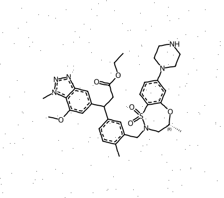 CCOC(=O)CC(c1ccc(C)c(CN2C[C@@H](C)Oc3cc(N4CCNCC4)ccc3S2(=O)=O)c1)c1cc(OC)c2c(c1)nnn2C